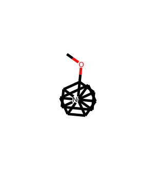 CO[C]12[CH]3[CH]4[CH]5[CH]1[Ni]45321678[CH]2[CH]1[CH]6[CH]7[CH]28